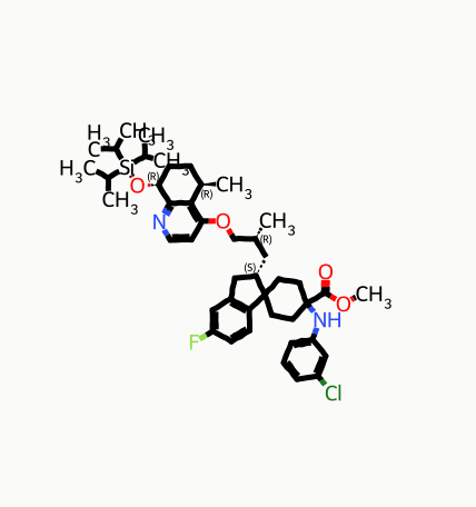 COC(=O)C1(Nc2cccc(Cl)c2)CCC2(CC1)c1ccc(F)cc1C[C@@H]2C[C@@H](C)COc1ccnc2c1[C@H](C)CC[C@H]2O[Si](C(C)C)(C(C)C)C(C)C